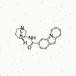 O=C(N[C@H]1CN2CCC1CC2)c1ccc2cc3ccccn3c2c1